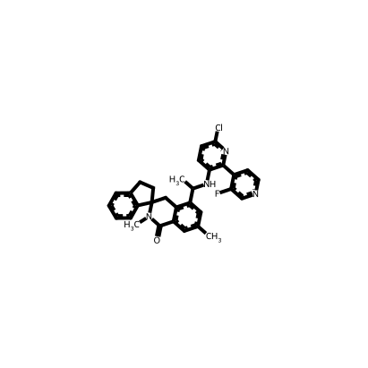 Cc1cc2c(c(C(C)Nc3ccc(Cl)nc3-c3ccncc3F)c1)CC1(CCc3ccccc31)N(C)C2=O